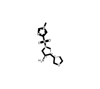 Cn1cnc(S(=O)(=O)N2C[C@H]([C@@H]3CCOC3)[C@@H](N)C2)c1